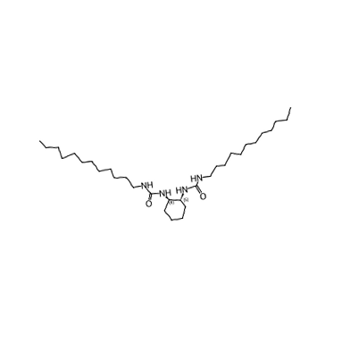 CCCCCCCCCCCCNC(=O)N[C@H]1CCCC[C@H]1NC(=O)NCCCCCCCCCCCC